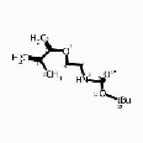 C=C(C)C(=C)OCCNC(=O)OC(C)(C)C